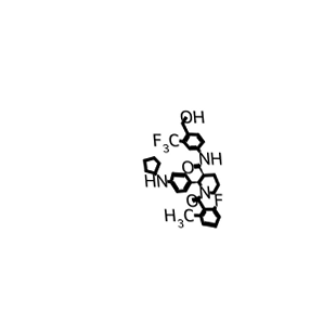 Cc1cccc(F)c1C(=O)N1CCC[C@H](C(=O)Nc2ccc(CO)c(C(F)(F)F)c2)[C@@H]1c1ccc(NC2CCCC2)cc1